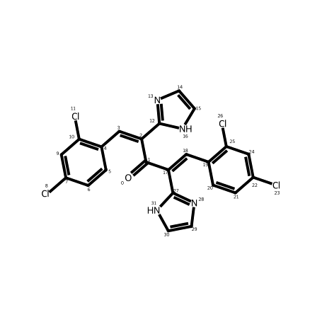 O=C(C(=Cc1ccc(Cl)cc1Cl)c1ncc[nH]1)C(=Cc1ccc(Cl)cc1Cl)c1ncc[nH]1